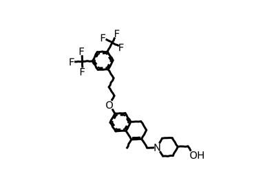 CC1=C(CN2CCC(CO)CC2)CCc2cc(OCCCc3cc(C(F)(F)F)cc(C(F)(F)F)c3)ccc21